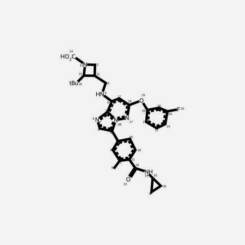 Cc1cc(-c2cnc3c(NCC4CN(C(=O)O)C4C(C)(C)C)cc(Oc4cccc(F)c4)nn23)ccc1C(=O)NC1CC1